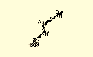 C=CC(=O)NCCSCCCN(CCOC(=O)NCCC[Si](C)(C)O[Si](C)(C)CCCC)C(C)=O